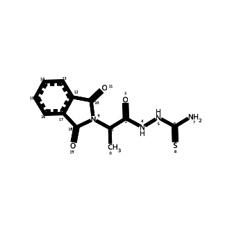 CC(C(=O)NNC(N)=S)N1C(=O)c2ccccc2C1=O